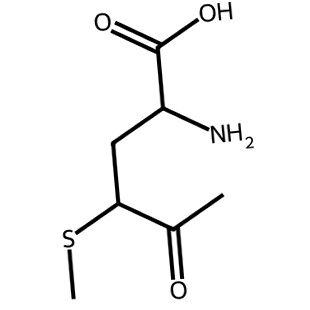 CSC(CC(N)C(=O)O)C(C)=O